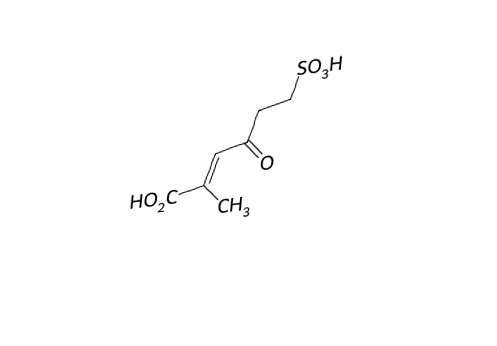 CC(=CC(=O)CCS(=O)(=O)O)C(=O)O